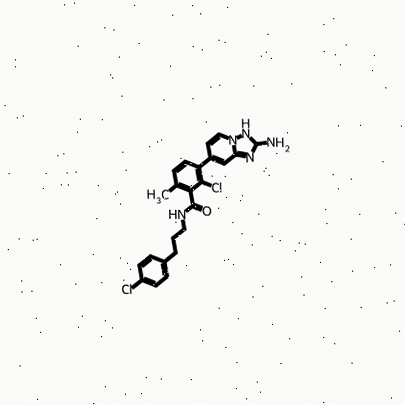 Cc1ccc(C2=CC3=NC(N)NN3C=C2)c(Cl)c1C(=O)NCCCc1ccc(Cl)cc1